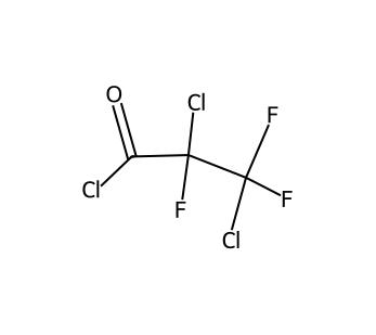 O=C(Cl)C(F)(Cl)C(F)(F)Cl